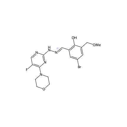 COCc1cc(Br)cc(/C=N/Nc2ncc(F)c(N3CCOCC3)n2)c1O